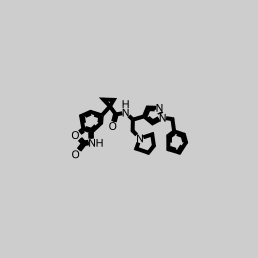 O=C(NC(CN1CCCC1)c1cnn(Cc2ccccc2)c1)C1(c2ccc3oc(=O)[nH]c3c2)CC1